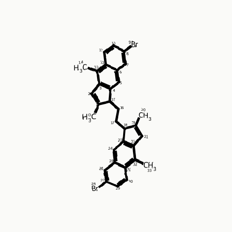 CC1=Cc2c(cc3cc(Br)ccc3c2C)C1CCC1C(C)=Cc2c1cc1cc(Br)ccc1c2C